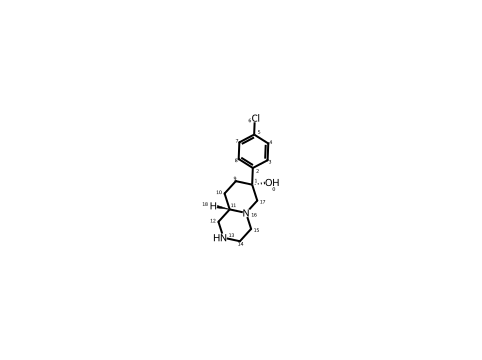 O[C@@]1(c2ccc(Cl)cc2)CC[C@H]2CNCCN2C1